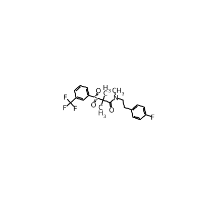 CN(CCc1ccc(F)cc1)C(=O)C(C)(C)S(=O)(=O)c1cccc(C(F)(F)F)c1